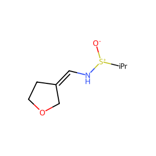 CC(C)[S+]([O-])N/C=C1/CCOC1